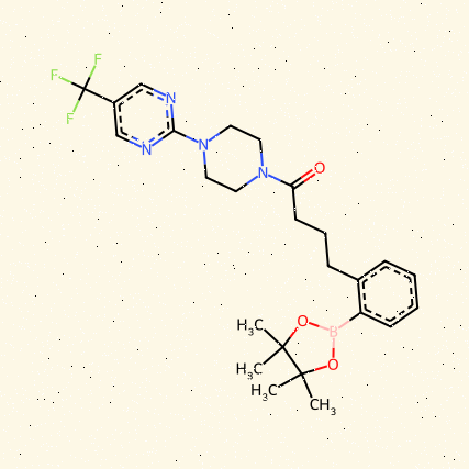 CC1(C)OB(c2ccccc2CCCC(=O)N2CCN(c3ncc(C(F)(F)F)cn3)CC2)OC1(C)C